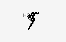 CCCC/C=C/c1ccc(-c2cc(CCC)ccc2C(=O)O)cc1